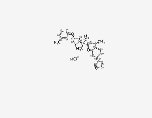 C[C@H](NC(=O)C(C)(C)N1CC[C@@H](Oc2cccc(C(F)(F)F)c2)C1)c1ccc(-c2ncon2)cc1.Cl